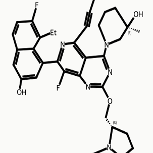 CC#Cc1nc(-c2cc(O)cc3ccc(F)c(CC)c23)c(F)c2nc(OC[C@@H]3CCCN3C)nc(N3CCC[C@@](C)(O)C3)c12